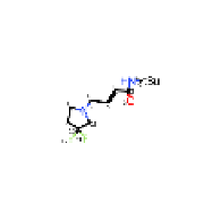 CC(C)(C)NC(=O)/C=C/CN1CCC(F)(F)C1